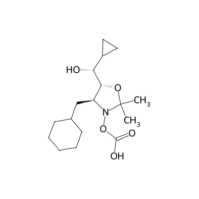 CC1(C)O[C@@H]([C@H](O)C2CC2)[C@H](CC2CCCCC2)N1OC(=O)O